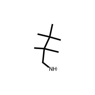 CC(C)(C)C(C)(C)C[NH]